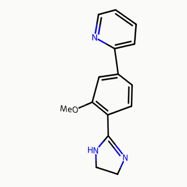 COc1cc(-c2ccccn2)ccc1C1=NCCN1